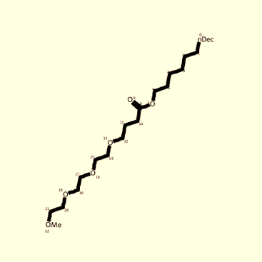 CCCCCCCCCCCCCCCCOC(=O)CCCOCCOCCOCCOC